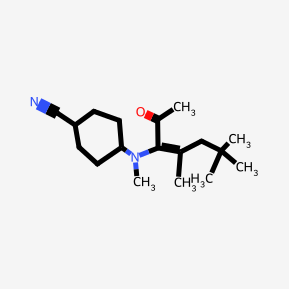 CC(=O)/C(=C(/C)CC(C)(C)C)N(C)C1CCC(C#N)CC1